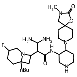 CCCCC12CCC(F)CN1C(C(C(=O)NC1CNCCC1N1CCC3(CC1)CN(C)C(=O)O3)C(N)N)C2